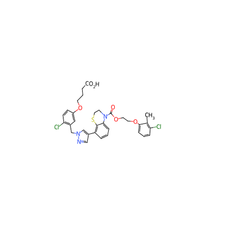 Cc1c(Cl)cccc1OCCOC(=O)N1CCSc2c(-c3cnn(Cc4cc(OCCCC(=O)O)ccc4Cl)c3)cccc21